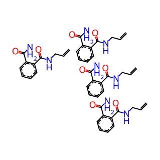 C=CCNC(=O)c1ccccc1C(N)=O.C=CCNC(=O)c1ccccc1C(N)=O.C=CCNC(=O)c1ccccc1C(N)=O.C=CCNC(=O)c1ccccc1C(N)=O